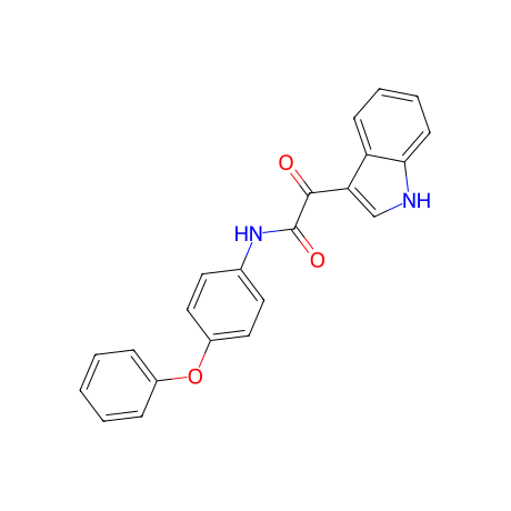 O=C(Nc1ccc(Oc2ccccc2)cc1)C(=O)c1c[nH]c2ccccc12